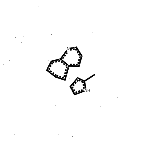 Cc1ccc[nH]1.c1ccc2ncccc2c1